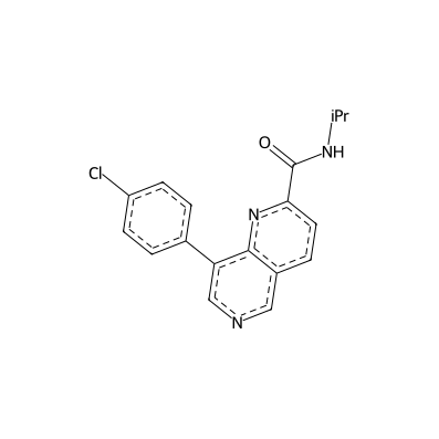 CC(C)NC(=O)c1ccc2cncc(-c3ccc(Cl)cc3)c2n1